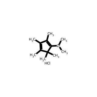 CC1=C(C)C(C)(C)[C]([Zr]([CH3])[CH3])=C1C.Cl